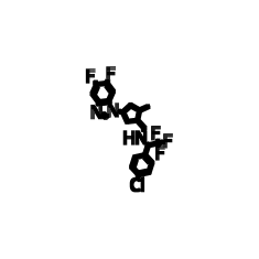 CC1CC(n2cnc3cc(F)c(F)cc32)CC1CNC(c1ccc(Cl)cc1)C(F)(F)F